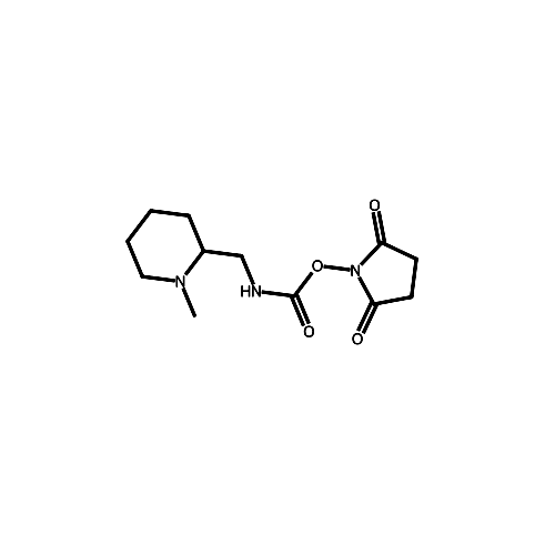 CN1CCCCC1CNC(=O)ON1C(=O)CCC1=O